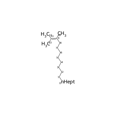 CCCCCCCCCCCCCCCC(C)=C(C)C